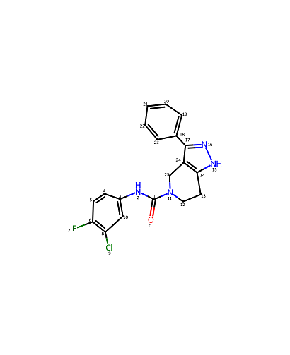 O=C(Nc1ccc(F)c(Cl)c1)N1CCc2[nH]nc(-c3ccccc3)c2C1